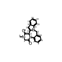 CN1CC(=O)N2c3ccccc3Cn3c(cc4ccccc43)C2C1=O